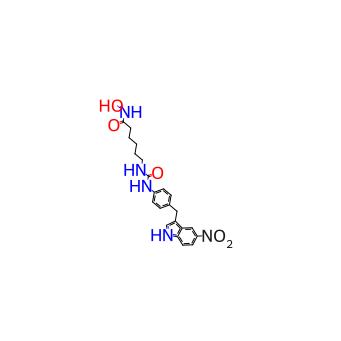 O=C(CCCCCNC(=O)Nc1ccc(Cc2c[nH]c3ccc([N+](=O)[O-])cc23)cc1)NO